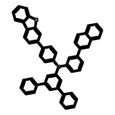 c1ccc(-c2cc(-c3ccccc3)cc(N(c3ccc(-c4ccc5c(c4)oc4ccccc45)cc3)c3cccc(-c4ccc5ccccc5c4)c3)c2)cc1